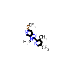 Cc1cc(C(F)(F)F)cnc1-c1nc2cc(SC(F)(F)F)ncc2n1C